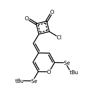 CC(C)(C)[Se]C1=CC(=Cc2c(Cl)c(=O)c2=O)C=C([Se]C(C)(C)C)O1